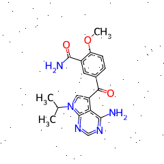 COc1ccc(C(=O)c2cn(C(C)C)c3ncnc(N)c23)cc1C(N)=O